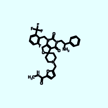 CNC(=O)c1ccc(CN2CCC3(CC2)OCc2c3c(=O)n(CC(N)c3ccccc3)c(=O)n2Cc2c(F)cccc2C(F)(F)F)o1